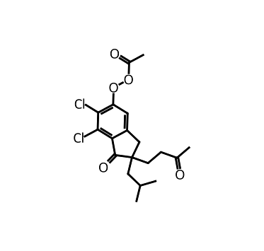 CC(=O)CCC1(CC(C)C)Cc2cc(OOC(C)=O)c(Cl)c(Cl)c2C1=O